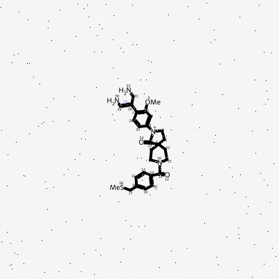 COc1cc(N2CCC3(CCN(C(=O)c4ccc(CSC)cc4)CC3)C2=O)ccc1/C(=C/N)CN